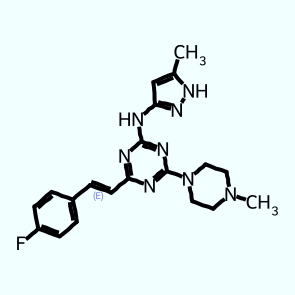 Cc1cc(Nc2nc(/C=C/c3ccc(F)cc3)nc(N3CCN(C)CC3)n2)n[nH]1